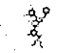 CCCN(CCC)C(=O)c1cc(C)cc(C(=O)OC(CNCc2ccccc2)C(N)Cc2cc(Cl)cc(Cl)c2)c1